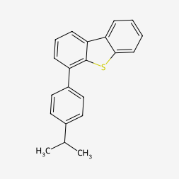 CC(C)c1ccc(-c2cccc3c2sc2ccccc23)cc1